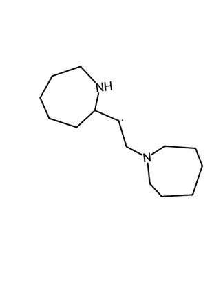 [CH](CN1CCCCCC1)C1CCCCCN1